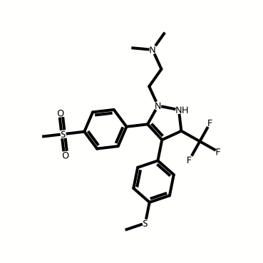 CSc1ccc(C2=C(c3ccc(S(C)(=O)=O)cc3)N(CCN(C)C)NC2C(F)(F)F)cc1